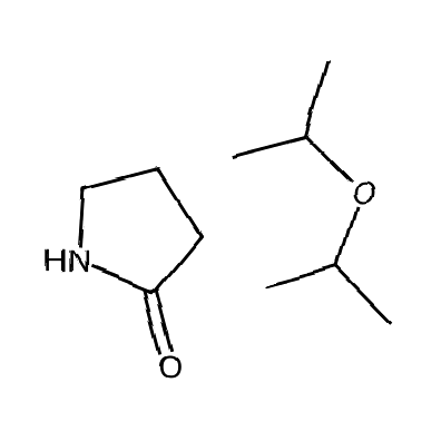 CC(C)OC(C)C.O=C1CCCN1